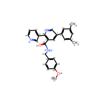 Cc1cc(C)cc(-c2cnc(-c3cccnc3)c(C(=O)NCc3ccc(OC(C)(C)C)cc3)c2)c1